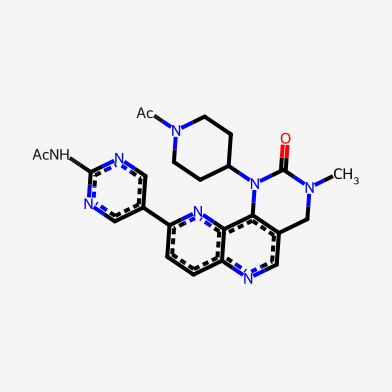 CC(=O)Nc1ncc(-c2ccc3ncc4c(c3n2)N(C2CCN(C(C)=O)CC2)C(=O)N(C)C4)cn1